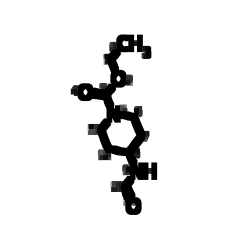 CCOC(=O)N1CCC(NC=O)CC1